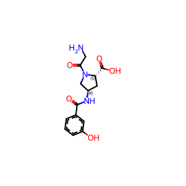 NCC(=O)N1C[C@H](NC(=O)c2cccc(O)c2)C[C@H]1C(=O)O